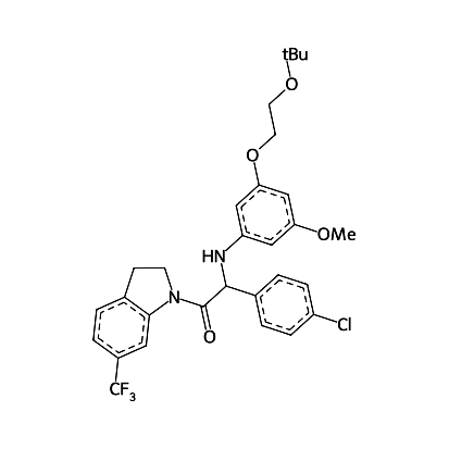 COc1cc(NC(C(=O)N2CCc3ccc(C(F)(F)F)cc32)c2ccc(Cl)cc2)cc(OCCOC(C)(C)C)c1